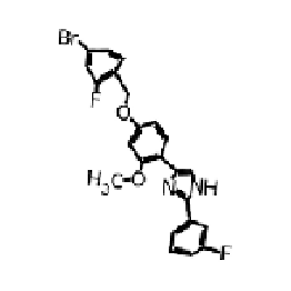 COc1cc(OCc2ccc(Br)cc2F)ccc1-c1c[nH]c(-c2cccc(F)c2)n1